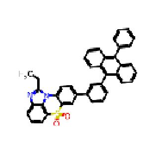 CCc1nc2cccc3c2n1-c1ccc(-c2cccc(-c4c5ccccc5c(-c5ccccc5)c5ccccc45)c2)cc1S3(=O)=O